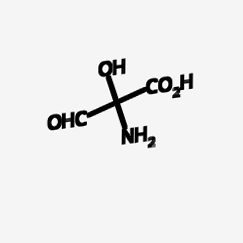 NC(O)(C=O)C(=O)O